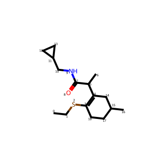 CCSC1=C(C(C)C(=O)NCC2CC2)CC(C)CC1